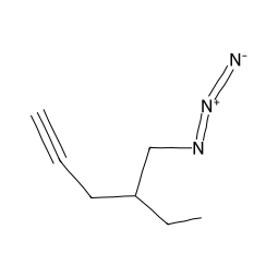 C#CCC(CC)CN=[N+]=[N-]